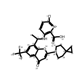 CC(Nc1ccc(Cl)nc1C(=O)O)c1cc(C(F)(F)F)cc2c(=O)cc(N3CCC4(CC3)CC4)oc12